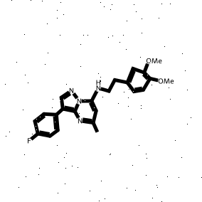 COc1ccc(CCNc2cc(C)nc3c(-c4ccc(F)cc4)cnn23)cc1OC